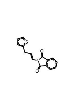 O=C1c2ccccc2C(=O)N1C=CCc1cccs1